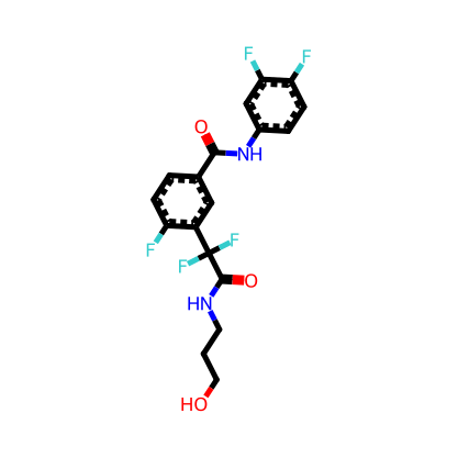 O=C(Nc1ccc(F)c(F)c1)c1ccc(F)c(C(F)(F)C(=O)NCCCO)c1